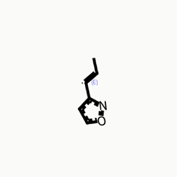 C/C=[C]/c1ccon1